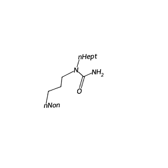 CCCCCCCCCCCCN(CCCCCCC)C(N)=O